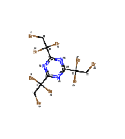 BrCC(Br)(Br)c1nc(C(Br)(Br)CBr)nc(C(Br)(Br)CBr)n1